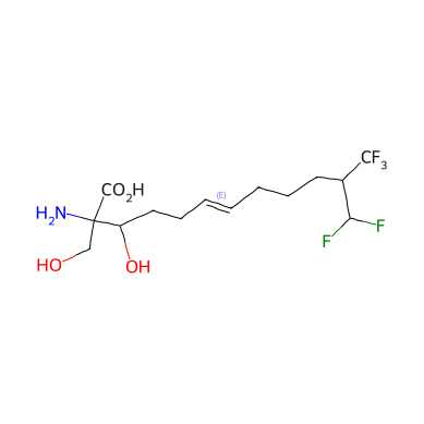 NC(CO)(C(=O)O)C(O)CC/C=C/CCCC(C(F)F)C(F)(F)F